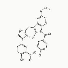 COc1ccc2c(c1)c(Cc1nc(-c3ccc(O)c([N+](=O)[O-])c3)cs1)c(C)n2C(=O)c1ccc(Cl)cc1